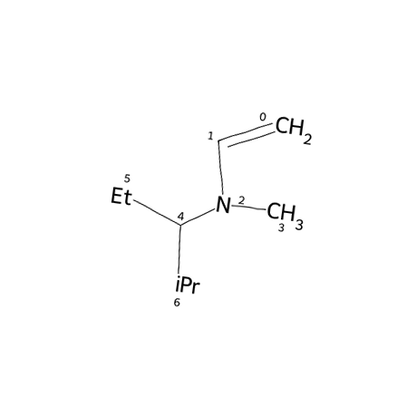 C=CN(C)C(CC)C(C)C